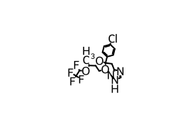 CC(OC(F)C(F)(F)F)C1COC(Cc2nc[nH]n2)(c2ccc(Cl)cc2)O1